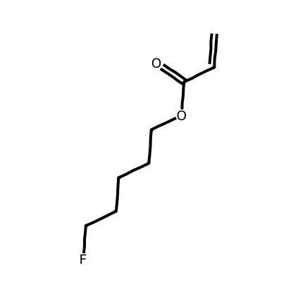 C=CC(=O)OCCCCCF